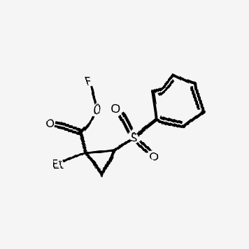 CCC1(C(=O)OF)CC1S(=O)(=O)c1ccccc1